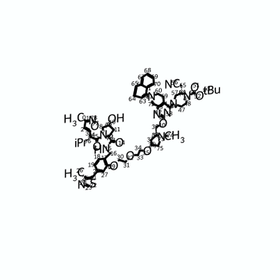 Cc1cc([C@H](C(=O)N2C[C@H](O)C[C@H]2C(=O)NCc2ccc(-c3scnc3C)cc2OCCOCCO[C@@H]2C[C@@H](COc3nc4c(c(N5CCN(C(=O)OC(C)(C)C)[C@@H](CC#N)C5)n3)CCN(c3cccc5ccccc35)C4)N(C)C2)C(C)C)on1